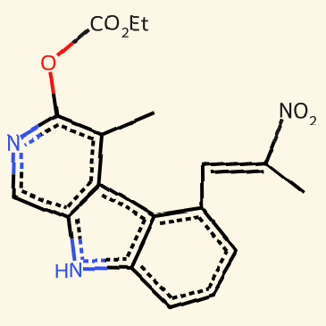 CCOC(=O)Oc1ncc2[nH]c3cccc(C=C(C)[N+](=O)[O-])c3c2c1C